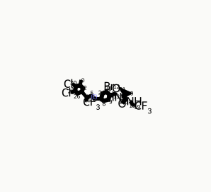 Cc1cc(C(/C=C/c2ccc(C(=O)NC3(C(=O)NCC(F)(F)F)CC3)c(Br)c2)C(F)(F)F)cc(Cl)c1Cl